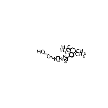 CC1(C)CCC(C)(C)c2cc(-c3csc(N4CCN(CCOCCO)CC4)n3)ccc21